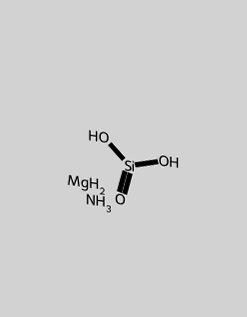 N.O=[Si](O)O.[MgH2]